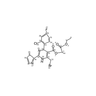 CCOC(=O)C(C)OC(=O)C1=C(CBr)NC(c2nccs2)=NC1c1ccc(F)cc1Cl